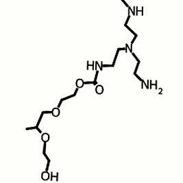 CNCCN(CCN)CCNC(=O)OCCOCC(C)OCCO